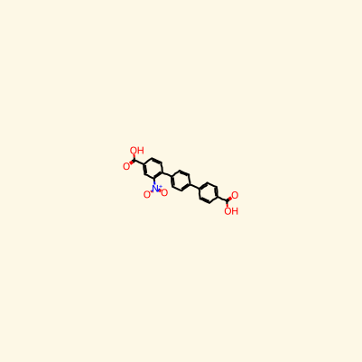 O=C(O)c1ccc(-c2ccc(-c3ccc(C(=O)O)cc3[N+](=O)[O-])cc2)cc1